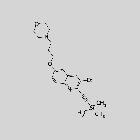 CCc1cc2cc(OCCCN3CCOCC3)ccc2nc1C#C[Si](C)(C)C